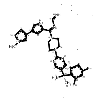 Cn1cc(-c2c[nH]c(/C(=N\C=N)N3CCN(c4ncc([C@](C)(N)c5c(F)cc(F)cc5F)cn4)CC3)c2)cn1